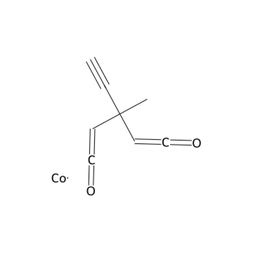 C#CC(C)(C=C=O)C=C=O.[Co]